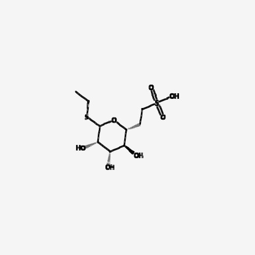 CCSC1O[C@H](CCS(=O)(=O)O)[C@@H](O)[C@H](O)[C@@H]1O